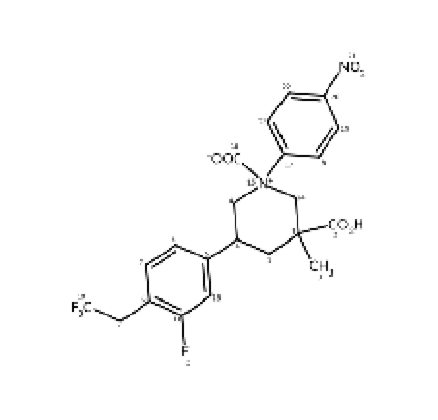 CC1(C(=O)O)CC(c2ccc(CC(F)(F)F)c(F)c2)C[N+](C(=O)[O-])(c2ccc([N+](=O)[O-])cc2)C1